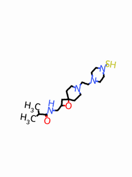 CC(C)C(=O)NCC1CC2(CCN(CCN3CCN(S)CC3)CC2)O1